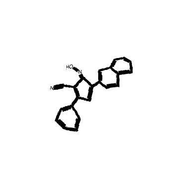 N#CC1=C(c2ccccc2)C=C(c2ccc3ccccc3c2)/C1=N/O